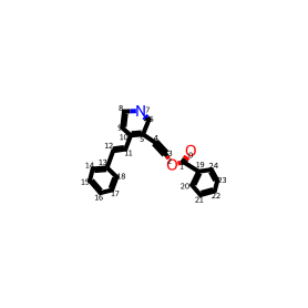 O=C(OC#Cc1cnccc1C=Cc1ccccc1)c1ccccc1